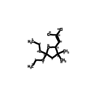 CCOC1(OCC)CC(C)(C)C(C=C(Cl)Cl)O1